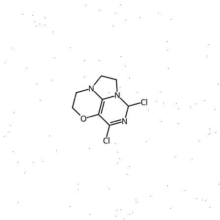 ClC1=NC(Cl)N2CCN3CCOC1=C32